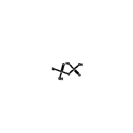 O=P(O)(O)OP(=O)(O)Br